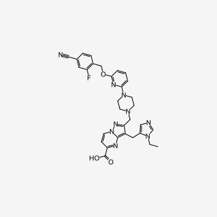 CCn1cncc1Cc1c(CN2CCN(c3cccc(OCc4ccc(C#N)cc4F)n3)CC2)nn2ccc(C(=O)O)nc12